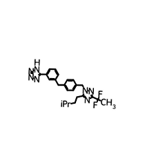 CC(C)CCc1nc(C(C)(F)F)nn1Cc1ccc(Cc2cccc(-c3nnn[nH]3)c2)cc1